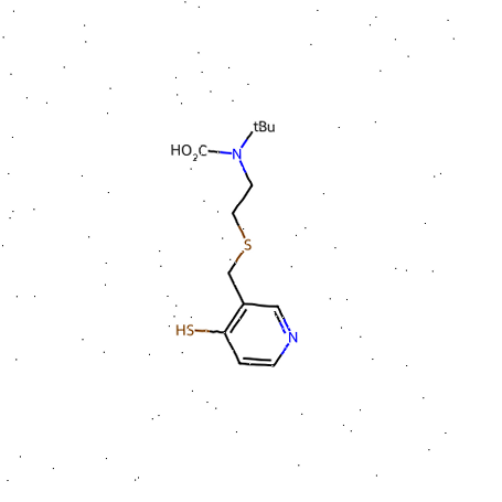 CC(C)(C)N(CCSCc1cnccc1S)C(=O)O